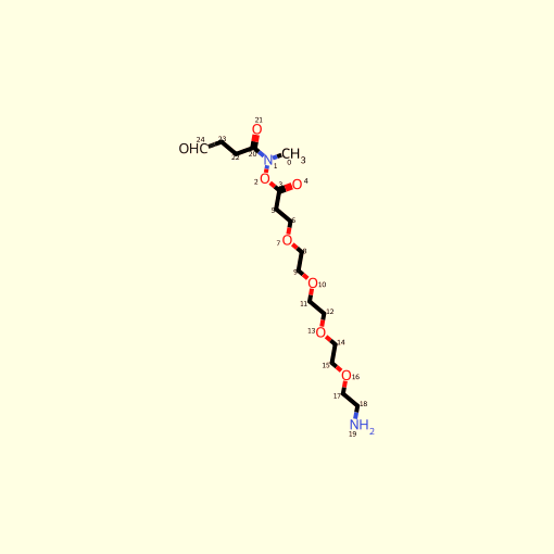 CN(OC(=O)CCOCCOCCOCCOCCN)C(=O)CCC=O